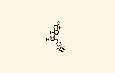 CCS(=O)(=O)N1CCC(Cc2c[nH]nc2-c2ccc3c(c2F)CCC(=O)N3C)CC1